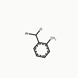 Cc1ccccc1C([O])C(C)C